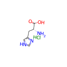 Cl.N[C@H](Cc1c[nH]cn1)C(=O)O